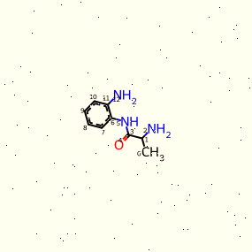 CC(N)C(=O)Nc1ccccc1N